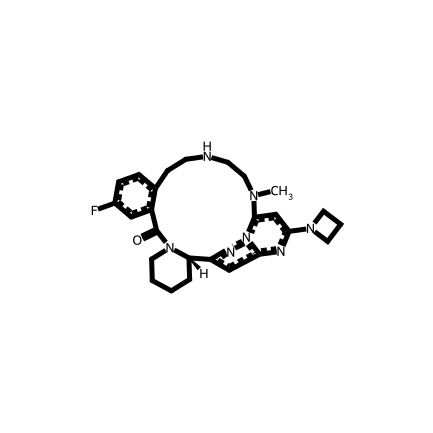 CN1CCNCCc2ccc(F)cc2C(=O)N2CCCC[C@H]2c2cc3nc(N4CCC4)cc1n3n2